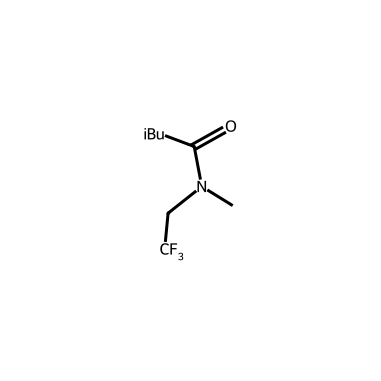 CCC(C)C(=O)N(C)CC(F)(F)F